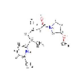 COC1CCN(C(=O)CC(C)CC(C)c2cccc(C)n2)C1